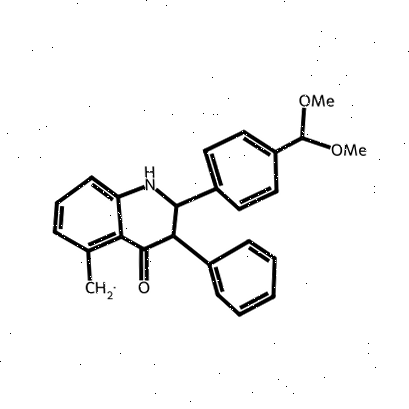 [CH2]c1cccc2c1C(=O)C(c1ccccc1)C(c1ccc(C(OC)OC)cc1)N2